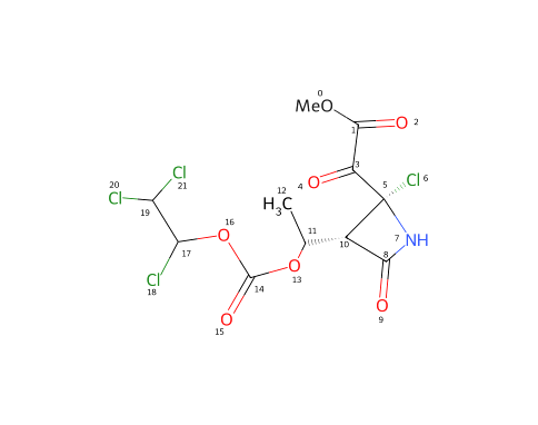 COC(=O)C(=O)[C@@]1(Cl)NC(=O)[C@@H]1C(C)OC(=O)OC(Cl)C(Cl)Cl